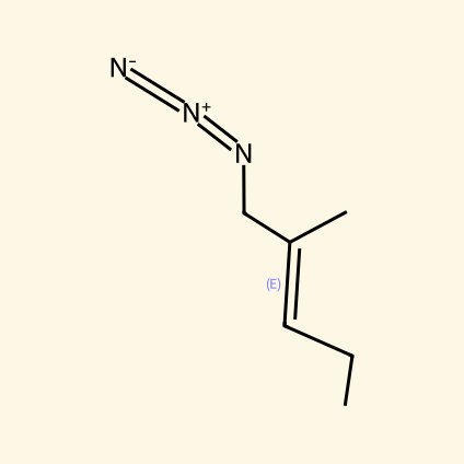 CC/C=C(\C)CN=[N+]=[N-]